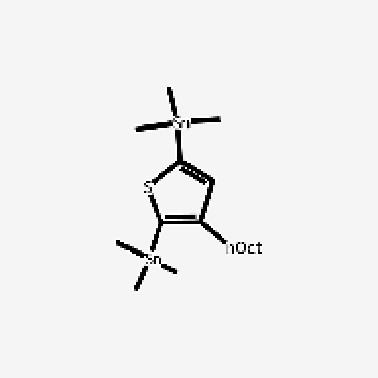 CCCCCCCCc1c[c]([Sn]([CH3])([CH3])[CH3])s[c]1[Sn]([CH3])([CH3])[CH3]